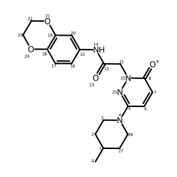 CC1CCN(c2ccc(=O)n(CC(=O)Nc3ccc4c(c3)OCCO4)n2)CC1